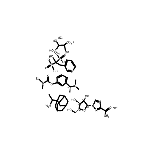 CC(N)C12CC3CC(CC(C3)C1)C2.CCN(C)C(=O)Oc1cccc([C@H](C)N(C)C)c1.Cl.NC(=O)c1ncn([C@@H]2O[C@H](CO)[C@@H](O)[C@H]2O)n1.O=C(O)C(O)C(O)C(=O)O.O=P([O-])(O)C(O)(Cc1cccnc1)P(=O)(O)O.[Na+]